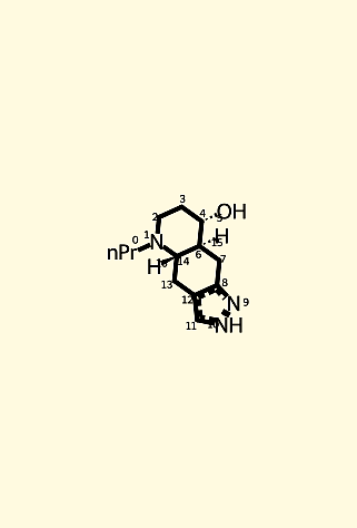 CCCN1CC[C@H](O)[C@H]2Cc3n[nH]cc3C[C@@H]21